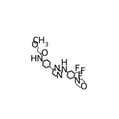 COCCC(=O)Nc1ccc(-c2ccnc(Nc3ccc(N4CCOCC4)c(C(F)(F)F)c3)n2)cc1